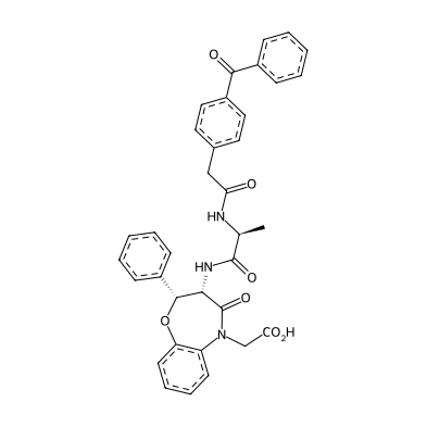 C[C@H](NC(=O)Cc1ccc(C(=O)c2ccccc2)cc1)C(=O)N[C@@H]1C(=O)N(CC(=O)O)c2ccccc2O[C@@H]1c1ccccc1